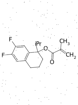 C=C(C)C(=O)OC1(C(C)C)CCCc2cc(F)c(F)cc21